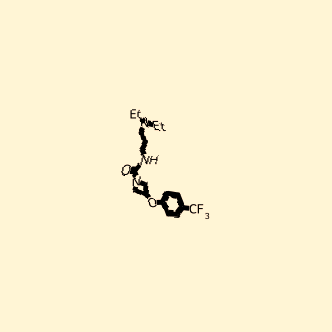 CCN(CC)CCCNC(=O)N1CC(Oc2ccc(C(F)(F)F)cc2)C1